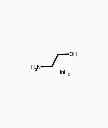 NCCO.[InH3]